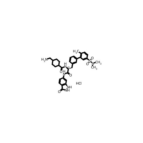 Cc1ccc(S(=O)(=O)N(C)C)cc1-c1cccc(C[C@H](NC(=O)C2CCC(CN)CC2)C(=O)Nc2ccc3c(=O)[nH][nH]c3c2)c1.Cl